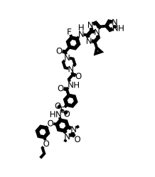 CCCOc1cccc(Oc2cc3c(cc2NS(=O)(=O)c2cccc(C(=O)NCC(=O)N4CCN(C(=O)c5ccc(Nc6nc(C7CC7)cn7c(-c8cn[nH]c8)cnc67)c(F)c5)CC4)c2)n(C)c(=O)n3C)c1